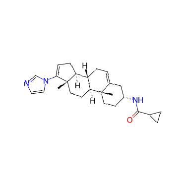 C[C@]12CC[C@@H](NC(=O)C3CC3)CC1=CC[C@@H]1[C@@H]2CC[C@]2(C)C(n3ccnc3)=CC[C@@H]12